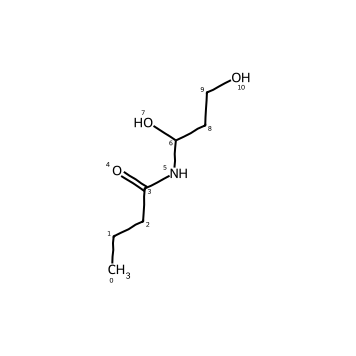 CCCC(=O)NC(O)CCO